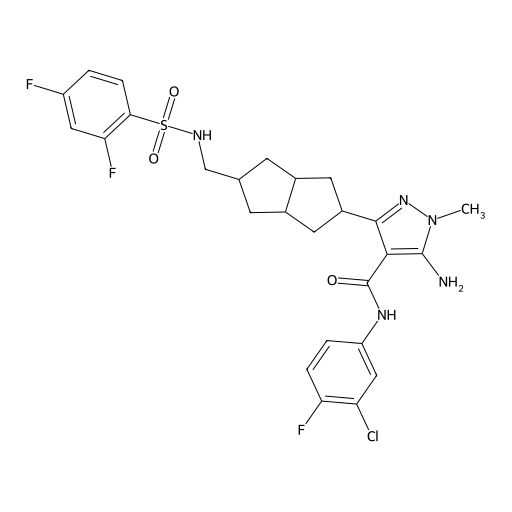 Cn1nc(C2CC3CC(CNS(=O)(=O)c4ccc(F)cc4F)CC3C2)c(C(=O)Nc2ccc(F)c(Cl)c2)c1N